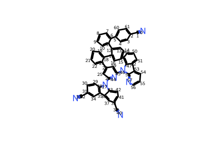 N#Cc1ccc(-c2ccccc2-c2ccccc2-c2ccccc2-c2cc(-n3c4ccc(C#N)cc4c4cc(C#N)ccc43)nc(-n3c4ccccc4c4cccnc43)c2)cc1